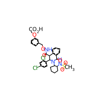 CS(=O)(=O)NC1CCCCC1N1C(=O)c2ccccc2C(C(=O)NOCc2cccc(OCC(=O)O)c2)C1c1ccc(Cl)cc1Cl